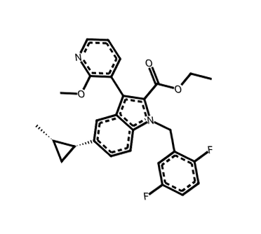 CCOC(=O)c1c(-c2cccnc2OC)c2cc([C@@H]3C[C@@H]3C)ccc2n1Cc1cc(F)ccc1F